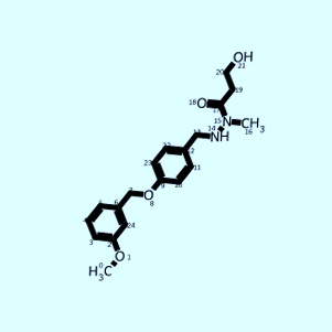 COc1cccc(COc2ccc(CNN(C)C(=O)CCO)cc2)c1